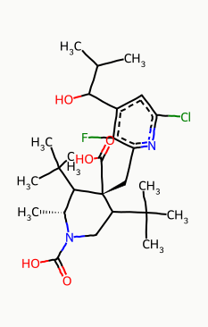 CC(C)C(O)c1cc(Cl)nc(C[C@@]2(C(=O)O)C(C(C)(C)C)CN(C(=O)O)[C@H](C)C2C(C)(C)C)c1F